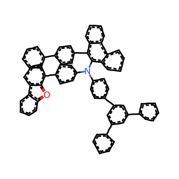 c1ccc(-c2ccc(-c3c(N(c4ccc(-c5cc(-c6ccccc6)cc(-c6ccccc6)c5)cc4)c4ccc(-c5cccc6c5oc5ccccc56)cc4)c4ccccc4c4ccccc34)cc2)cc1